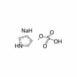 COS(=O)(=O)O.[NaH].c1cc[nH]c1